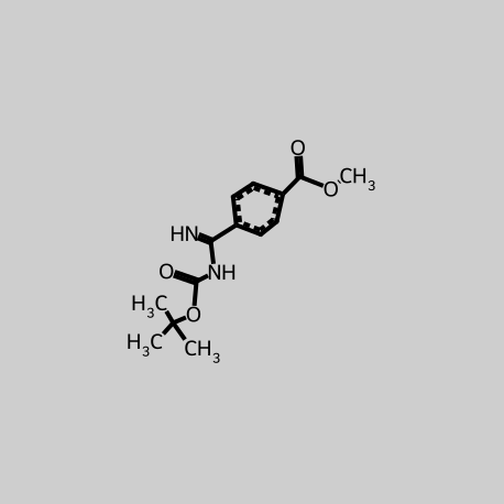 COC(=O)c1ccc(C(=N)NC(=O)OC(C)(C)C)cc1